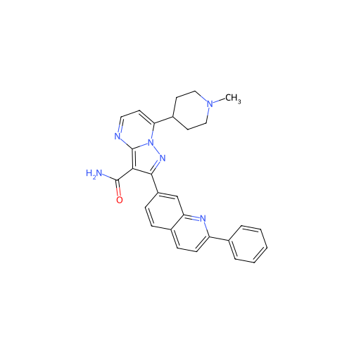 CN1CCC(c2ccnc3c(C(N)=O)c(-c4ccc5ccc(-c6ccccc6)nc5c4)nn23)CC1